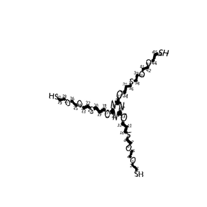 SCCOCCOCCSCCCOc1nc(OCCCSCCOCCOCCS)nc(OCCCSCCOCCOCCS)n1